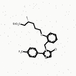 CCOC(=O)C[C@H](C)CCCOc1ccccc1Cn1c(Cl)cnc1-c1ccc(C(F)(F)F)cc1